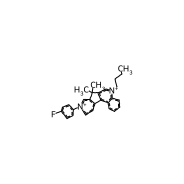 CCCC[n+]1cc2c(c3ccccc31)-c1cc[n+](-c3ccc(F)cc3)cc1C2(C)C